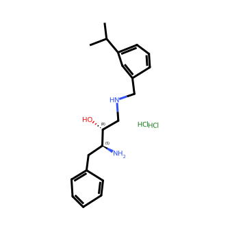 CC(C)c1cccc(CNC[C@@H](O)[C@@H](N)Cc2ccccc2)c1.Cl.Cl